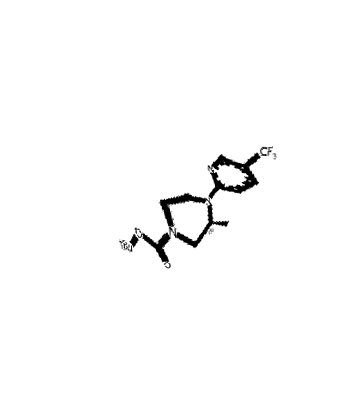 C[C@H]1CN(C(=O)OC(C)(C)C)CCN1c1ccc(C(F)(F)F)cn1